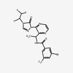 CC(NC(=O)c1cc(Br)cc(C(F)(F)F)c1)c1nccnc1-n1ncn(C(F)C(F)F)c1=O